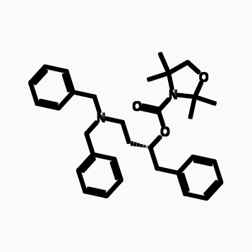 CC1(C)COC(C)(C)N1C(=O)O[C@@H](CCN(Cc1ccccc1)Cc1ccccc1)Cc1ccccc1